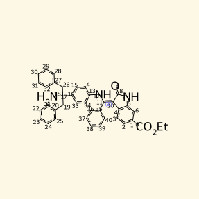 CCOC(=O)c1ccc2c(c1)NC(=O)/C2=C(\Nc1ccc(C(N)(Cc2ccccc2)Cc2ccccc2)cc1)c1ccccc1